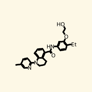 CCc1ccc(NC(=O)c2cccc3c2CCCN3c2ccc(C)cn2)cc1OCCO